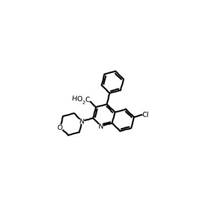 O=C(O)c1c(N2CCOCC2)nc2ccc(Cl)cc2c1-c1ccccc1